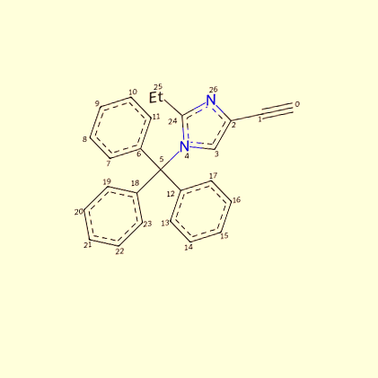 C#Cc1cn(C(c2ccccc2)(c2ccccc2)c2ccccc2)c(CC)n1